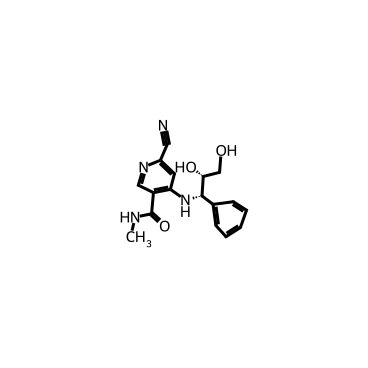 CNC(=O)c1cnc(C#N)cc1N[C@@H](c1ccccc1)[C@H](O)CO